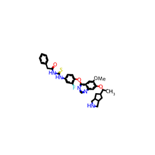 COc1cc2c(Oc3ccc(NC(=S)NC(=O)Cc4ccccc4)cc3F)ncnc2cc1OC(C)C1CC2CNCC2C1